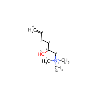 C=CC[CH]C(O)C[N+](C)(C)C